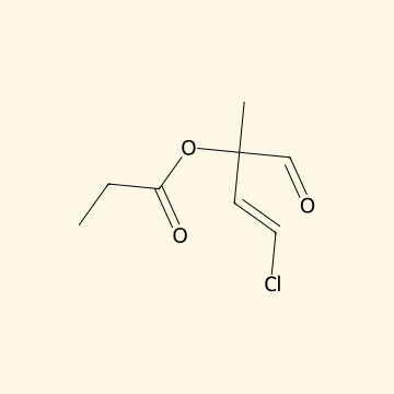 CCC(=O)OC(C)(C=O)C=CCl